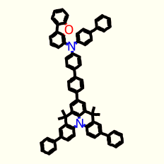 CC1(C)c2cc(-c3ccccc3)ccc2N2c3ccc(-c4ccccc4)cc3C(C)(C)c3cc(-c4ccc(-c5ccc(N(c6ccc(-c7ccccc7)cc6)c6cccc7c6oc6ccccc67)cc5)cc4)cc1c32